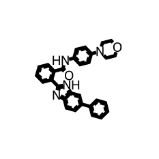 O=C(Nc1ccc(N2CCOCC2)cc1)c1ccccc1-c1nc2ccc(-c3ccccc3)cc2[nH]1